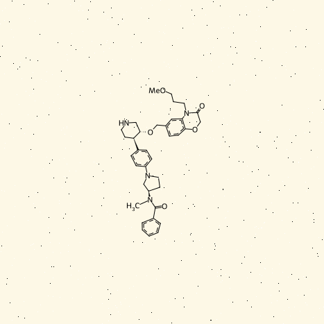 COCCCN1C(=O)COc2ccc(CO[C@H]3CNCC[C@@H]3c3ccc(N4CC[C@@H](N(C)C(=O)c5ccccc5)C4)cc3)cc21